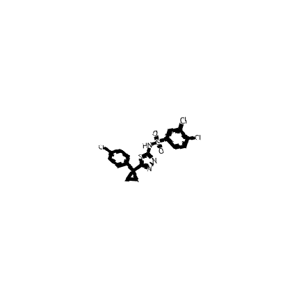 O=S(=O)(Nc1nnc(C2(c3ccc(Cl)cc3)CC2)s1)c1ccc(Cl)c(Cl)c1